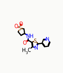 Cc1nc(-c2cccnc2)sc1C(=O)NC1CCS(=O)(=O)C1